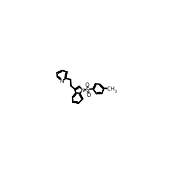 Cc1ccc(S(=O)(=O)n2cc(CCc3ccccn3)c3ccccc32)cc1